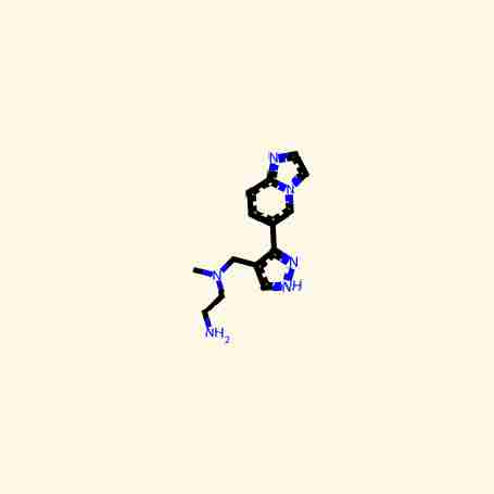 CN(CCN)Cc1c[nH]nc1-c1ccc2nccn2c1